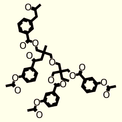 CCC(COCC(C)(COC(=O)c1cccc(CC(C)=O)c1)CC(=O)c1cccc(OC(C)=O)c1)(COC(=O)c1cccc(OC(C)=O)c1)COC(=O)c1cccc(OC(C)=O)c1